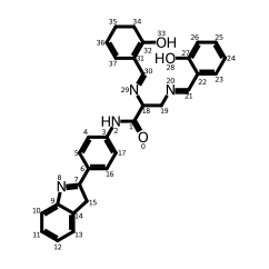 O=C(Nc1ccc(C2=Nc3ccccc3C2)cc1)C(C/N=C/c1ccccc1O)/N=C/C1=C(O)CCC=C1